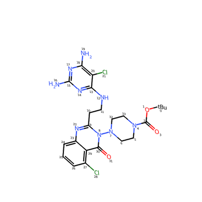 CC(C)(C)OC(=O)N1CCN(n2c(CCNc3nc(N)nc(N)c3Cl)nc3cccc(Cl)c3c2=O)CC1